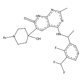 CC(=O)N1CCC(O)(c2cc3c(NC(C)c4cccc(C(F)F)c4F)nc(C)nc3[nH]c2=O)CC1